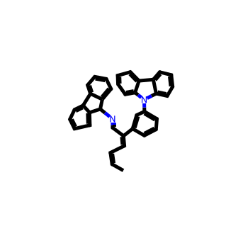 C\C=C/C=C(\C=N\C1c2ccccc2-c2ccccc21)c1cccc(-n2c3ccccc3c3ccccc32)c1